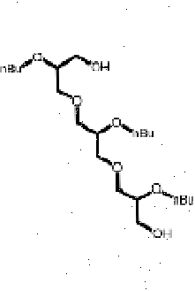 CCCCOC(CO)COCC(COCC(CO)OCCCC)OCCCC